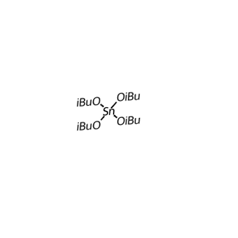 CC(C)C[O][Sn]([O]CC(C)C)([O]CC(C)C)[O]CC(C)C